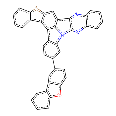 c1ccc2nc3c(nc2c1)c1cc2sc4ccccc4c2c2c4ccc(-c5ccc6oc7ccccc7c6c5)cc4n3c12